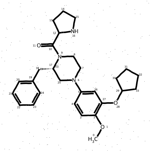 COc1ccc(N2CCN(C(=O)C3CCCN3)[C@@H](Cc3ccccc3)C2)cc1OC1CCCC1